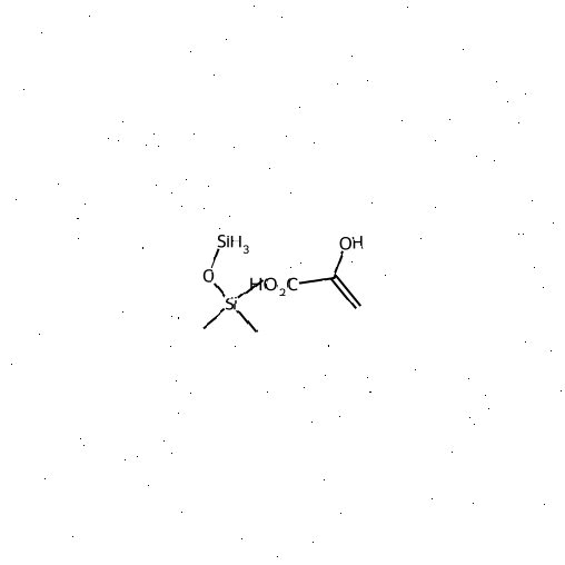 C=C(O)C(=O)O.C[Si](C)(C)O[SiH3]